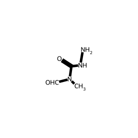 CN(C=O)C(=O)NN